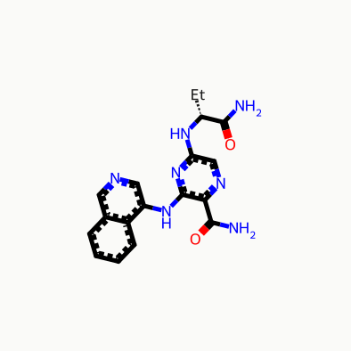 CC[C@@H](Nc1cnc(C(N)=O)c(Nc2cncc3ccccc23)n1)C(N)=O